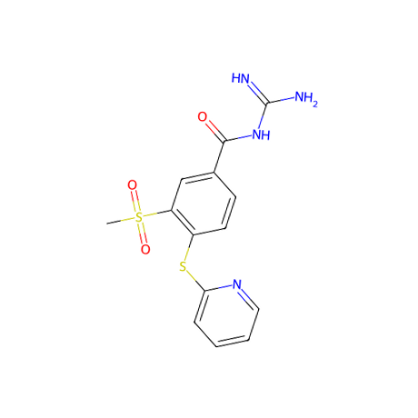 CS(=O)(=O)c1cc(C(=O)NC(=N)N)ccc1Sc1ccccn1